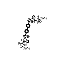 COC(=O)N[C@H](C(=O)N1CCC[C@@H]1c1ncc(-c2ccc(-c3ccc(-c4cnc([C@H]5CCCN5C(=O)[C@H](NC(=O)OC)C(C)C)[nH]4)cc3)cc2)[nH]1)C(C)C